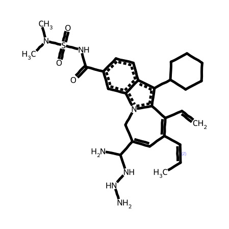 C=CC1=C(/C=C\C)C=C(C(N)NNN)Cn2c1c(C1CCCCC1)c1ccc(C(=O)NS(=O)(=O)N(C)C)cc12